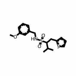 COc1cccc(CNS(=O)(=O)C(Cc2cccs2)C(C)C)c1